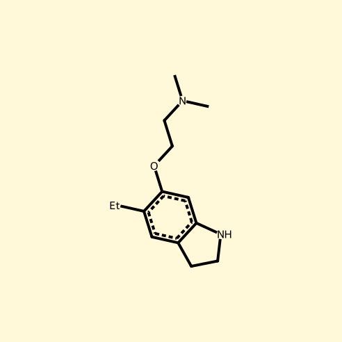 CCc1cc2c(cc1OCCN(C)C)NCC2